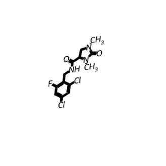 CN1CC(C(=O)NCc2c(F)cc(Cl)cc2Cl)N(C)C1=O